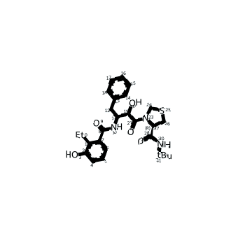 CCc1c(O)cccc1C(=O)NC(Cc1ccccc1)C(O)C(=O)N1CSC[C@H]1C(=O)NC(C)(C)C